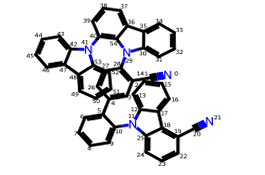 N#Cc1cc(-c2ccccc2-n2c3ccccc3c3c(C#N)cccc32)ccc1-n1c2ccccc2c2cccc(-n3c4ccccc4c4ccccc43)c21